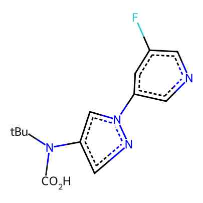 CC(C)(C)N(C(=O)O)c1cnn(-c2cncc(F)c2)c1